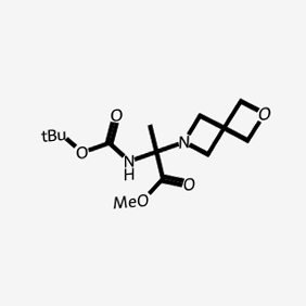 COC(=O)C(C)(NC(=O)OC(C)(C)C)N1CC2(COC2)C1